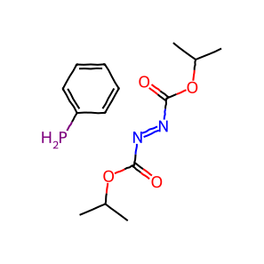 CC(C)OC(=O)N=NC(=O)OC(C)C.Pc1ccccc1